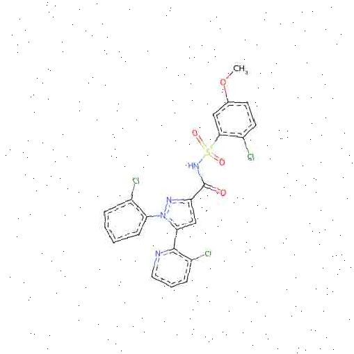 COc1ccc(Cl)c(S(=O)(=O)NC(=O)c2cc(-c3ncccc3Cl)n(-c3ccccc3Cl)n2)c1